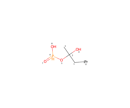 CC(C)CC(C)(O)O[PH](=O)O